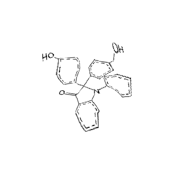 O=C1c2ccccc2N(c2ccccc2)C1(c1ccc(O)cc1)c1ccc(O)cc1